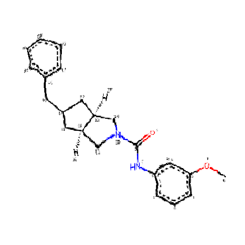 COc1cccc(NC(=O)N2C[C@H]3CC(Cc4ccccc4)C[C@H]3C2)c1